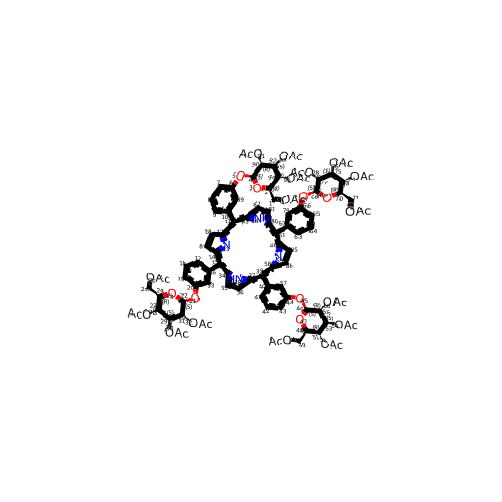 CC(=O)OC[C@H]1O[C@@H](Oc2cccc(-c3c4nc(c(-c5cccc(O[C@@H]6O[C@H](COC(C)=O)[C@@H](OC(C)=O)[C@H](OC(C)=O)[C@H]6OC(C)=O)c5)c5ccc([nH]5)c(-c5cccc(O[C@@H]6O[C@H](COC(C)=O)[C@@H](OC(C)=O)[C@H](OC(C)=O)[C@H]6OC(C)=O)c5)c5nc(c(-c6cccc(O[C@@H]7O[C@H](COC(C)=O)[C@@H](OC(C)=O)[C@H](OC(C)=O)[C@H]7OC(C)=O)c6)c6ccc3[nH]6)C=C5)C=C4)c2)[C@H](OC(C)=O)[C@@H](OC(C)=O)[C@@H]1OC(C)=O